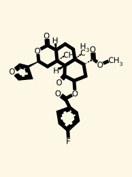 COC(=O)[C@@H]1CC(OC(=O)c2ccc(F)cc2)C(=O)[C@H]2[C@@]1(C)CC[C@H]1C(=O)O[C@H](c3ccoc3)C[C@]21C